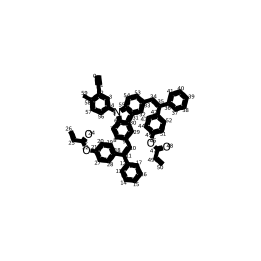 C#Cc1cc(-n2c3ccc(C=C(c4ccccc4)c4ccc(OC(=O)C=C)cc4)cc3c3cc(C=C(c4ccccc4)c4ccc(OC(=O)C=C)cc4)ccc32)ccc1C